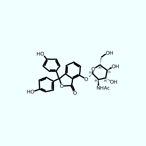 CC(=O)N[C@H]1[C@H](Oc2cccc3c2C(=O)OC3(c2ccc(O)cc2)c2ccc(O)cc2)O[C@H](CO)[C@@H](O)[C@@H]1O